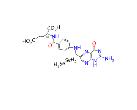 Nc1nc(=O)c2nc(CNc3ccc(C(=O)N[C@@H](CCC(=O)O)C(=O)O)cc3)cnc2[nH]1.[SeH2].[SeH2]